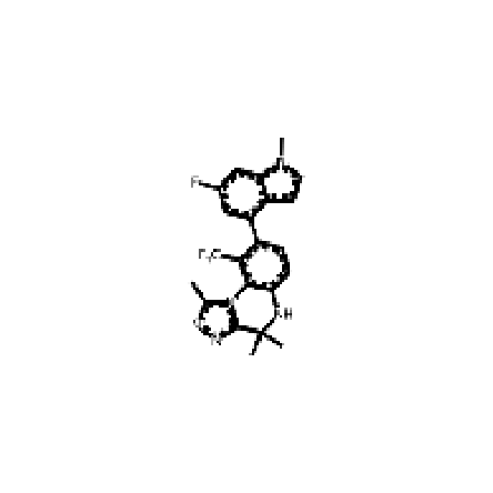 Cc1nnc2n1-c1c(ccc(-c3cc(F)cc4c3ccn4C)c1C(F)(F)F)NC2(C)C